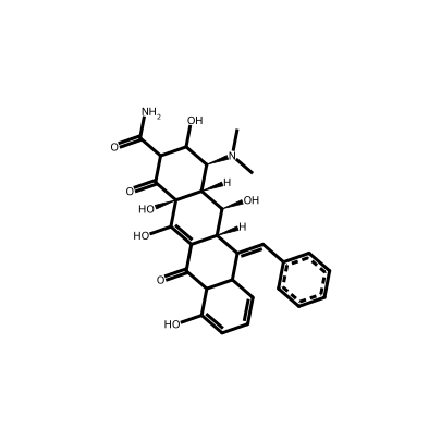 CN(C)[C@@H]1C(O)C(C(N)=O)C(=O)[C@@]2(O)C(O)=C3C(=O)C4C(O)=CC=CC4/C(=C\c4ccccc4)[C@H]3[C@H](O)[C@@H]12